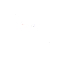 CCC(OC(C)=O)n1c(C)c(C(=O)c2ccc(C)cc2)c2cc(Cl)ccc21